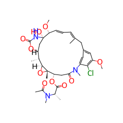 COc1cc2cc(c1Cl)N(C)C(=O)C[C@H](OC(=O)[C@H](C)N(C)C(C)=O)[C@]1(C)O[C@H]1[C@H](C)[C@@H]1C[C@@](O)(NC(=O)O1)[C@H](OC)/C=C/C=C(\C)C2